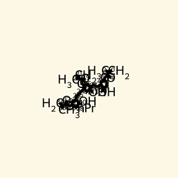 C=C(C)C(=O)Oc1ccc(O)c(CCc2cc(OC(=O)C(=C)C)c(CCCc3cc(OC(=O)C(=C)C)cc(CCC)c3O)cc2O)c1